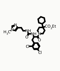 CCOC(=O)C1(C2CCCCC2)CCN(C(=O)C(Cc2ccc(Cl)cc2Cl)NC(=O)NCCc2cn(C)cn2)CC1